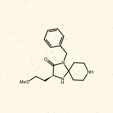 CSCC[C@@H]1NC2(CCNCC2)N(Cc2ccccc2)C1=O